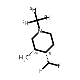 [2H]C([2H])([2H])N1CC[C@H](C(F)F)[C@H](C)C1